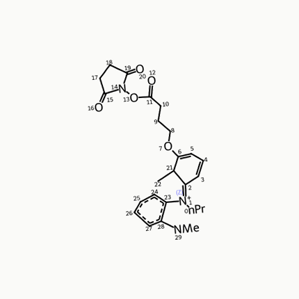 CCC/[N+](=C1\C=CC=C(OCCCC(=O)ON2C(=O)CCC2=O)C1C)c1ccccc1NC